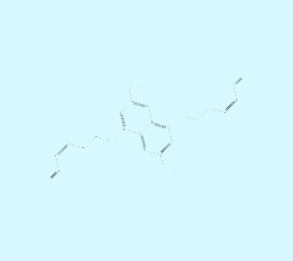 C=C/C=C\CCOc1cc(C(C)(C)C)cc2c(OCC/C=C\C=C)cc(C(C)(C)C)cc12